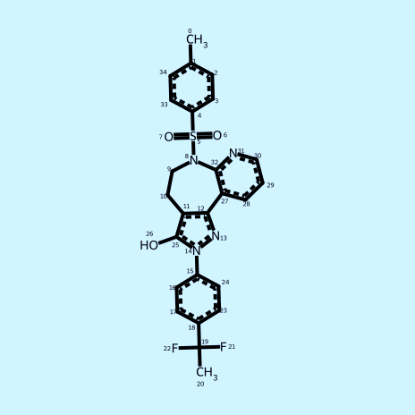 Cc1ccc(S(=O)(=O)N2CCc3c(nn(-c4ccc(C(C)(F)F)cc4)c3O)-c3cccnc32)cc1